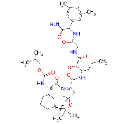 CCCC(NC(=O)[C@@H]1C[C@@H](OC(C)(C)C)CN1C(=O)[C@@H](NC(=O)OCC(C)C)C1CCCCC1)C(=O)C(=O)NCC(=O)NC(C(N)=O)c1cc(C)cc(C)c1